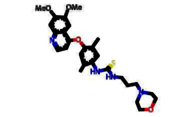 COc1cc2nccc(Oc3cc(C)c(NC(=S)NCCCN4CCOCC4)cc3C)c2cc1OC